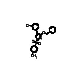 Cc1ccc(S(=O)(=O)n2cc(-c3cccc(Cl)c3)c(OCc3ccccc3)n2)cc1